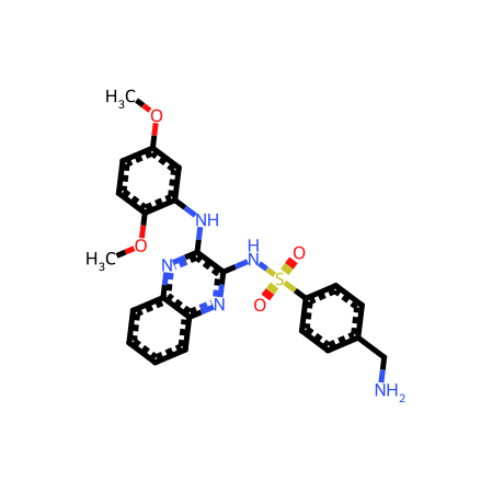 COc1ccc(OC)c(Nc2nc3ccccc3nc2NS(=O)(=O)c2ccc(CN)cc2)c1